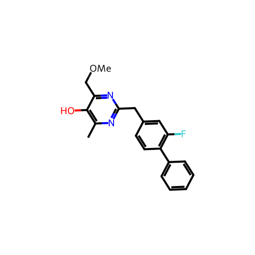 COCc1nc(Cc2ccc(-c3ccccc3)c(F)c2)nc(C)c1O